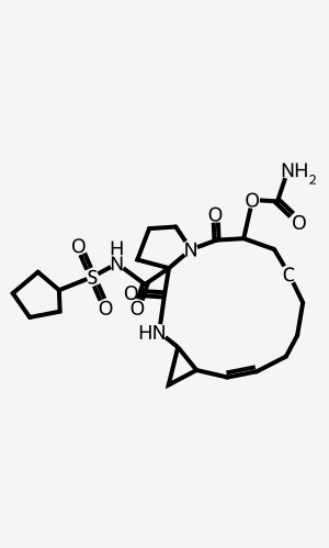 NC(=O)OC1CCCCCC=CC2CC2NC(=O)C2(C(=O)NS(=O)(=O)C3CCCC3)CCCN2C1=O